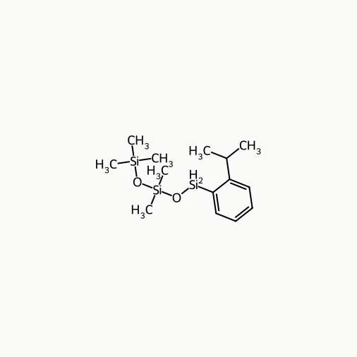 CC(C)c1ccccc1[SiH2]O[Si](C)(C)O[Si](C)(C)C